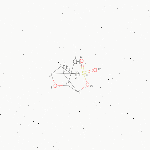 CCC1(C(C)C)C2CC3(C)C(O2)C1OS3(=O)=O